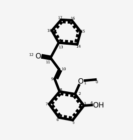 COc1c(O)cccc1C=CC(=O)c1ccccc1